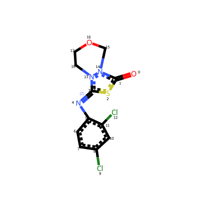 O=c1s/c(=N\c2ccc(Cl)cc2Cl)n2n1COCC2